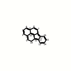 C1=c2cccc3ccc4c(c23)C(=c2ccccc2=4)C1